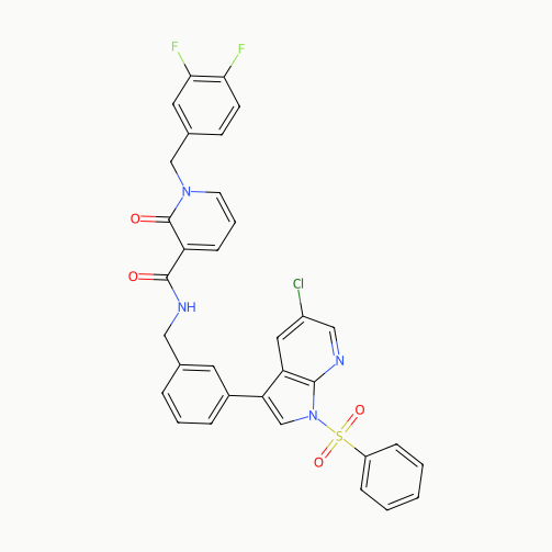 O=C(NCc1cccc(-c2cn(S(=O)(=O)c3ccccc3)c3ncc(Cl)cc23)c1)c1cccn(Cc2ccc(F)c(F)c2)c1=O